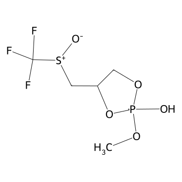 CO[P]1(O)OCC(C[S+]([O-])C(F)(F)F)O1